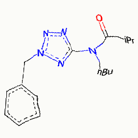 CCCCN(C(=O)C(C)C)c1nnn(Cc2ccccc2)n1